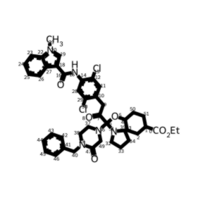 CCOC(=O)C1CCC(OC(C(=O)Cc2cc(Cl)c(NC(=O)c3cn(C)c4ccccc34)cc2Cl)(N2CCCC2)N2CCN(Cc3ccccc3)C(=O)C2)CC1